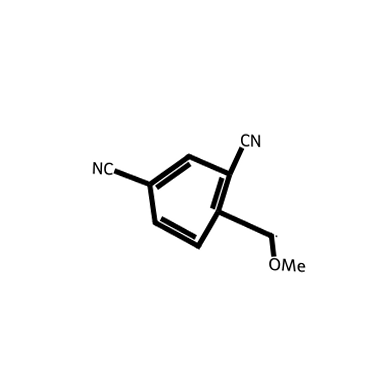 CO[CH]c1ccc(C#N)cc1C#N